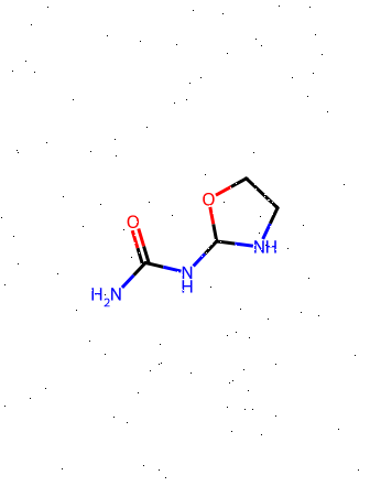 NC(=O)NC1NCCO1